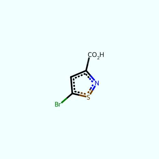 O=C(O)c1cc(Br)sn1